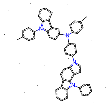 Cc1ccc(N(c2ccc(-n3ccc4c3ccc3c5ccccc5n(-c5ccccc5)c34)cc2)c2ccc3c(c2)c2ccccc2n3-c2ccc(C)cc2)cc1